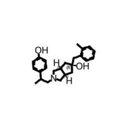 Cc1ccccc1C[C@]1(O)C[C@H]2CN(CC(C)c3ccc(O)cc3)C[C@H]2C1